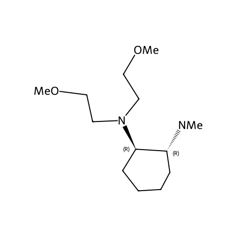 CN[C@@H]1CCCC[C@H]1N(CCOC)CCOC